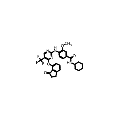 COc1cc(C(=O)NC2CCCCC2)ccc1Nc1ncc(C(F)(F)F)c(Oc2cccc3c2C(=O)CC3)n1